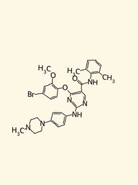 COc1cc(Br)ccc1Oc1nc(Nc2ccc(N3CCN(C)CC3)cc2)ncc1C(=O)Nc1c(C)cccc1C